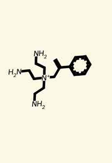 C=C(C[N+](CCN)(CCN)CCN)c1ccccc1